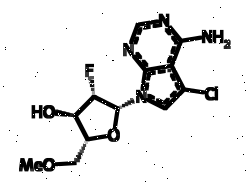 COC[C@H]1O[C@@H](n2cc(Cl)c3c(N)ncnc32)[C@@H](F)[C@@H]1O